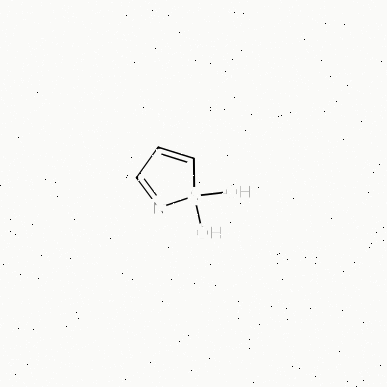 OS1(O)C=CC=N1